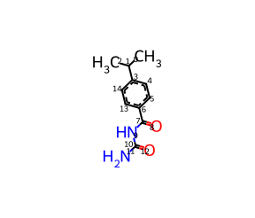 CC(C)c1ccc(C(=O)NC(N)=O)cc1